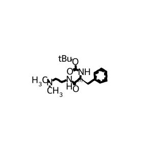 CN(C)CCNC(=O)[C@H](Cc1ccccc1)NC(=O)OC(C)(C)C